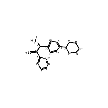 CC(C(=O)c1ccccn1)c1ccc(C2CCCCC2)cc1